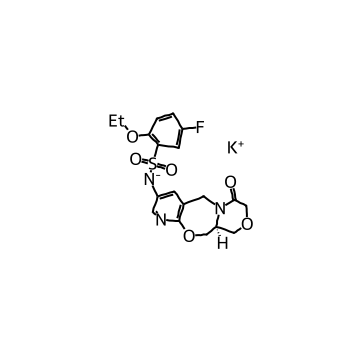 CCOc1ccc(F)cc1S(=O)(=O)[N-]c1cnc2c(c1)CN1C(=O)COC[C@H]1CO2.[K+]